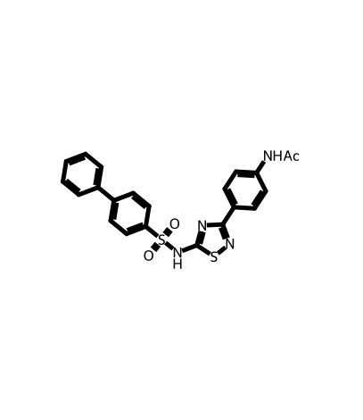 CC(=O)Nc1ccc(-c2nsc(NS(=O)(=O)c3ccc(-c4ccccc4)cc3)n2)cc1